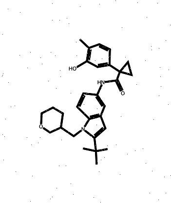 Cc1ccc(C2(C(=O)Nc3ccc4c(c3)cc(C(C)(C)C)n4CC3CCCOC3)CC2)cc1O